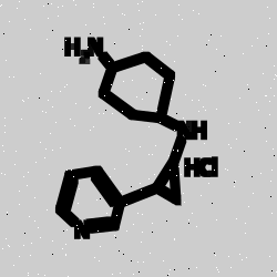 Cl.NC1CCC(NC2CC2c2cccnc2)CC1